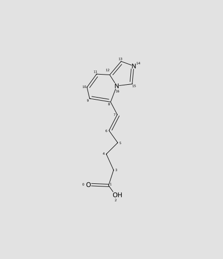 O=C(O)CCCC=Cc1cccc2cncn12